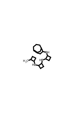 CC1CCC1BC1CCC1BC1CCC1BC1CC2=CCCCC1C2